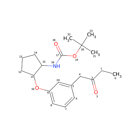 CCC(=O)Cc1cccc(OC2CCCC2NC(=O)OC(C)(C)C)c1